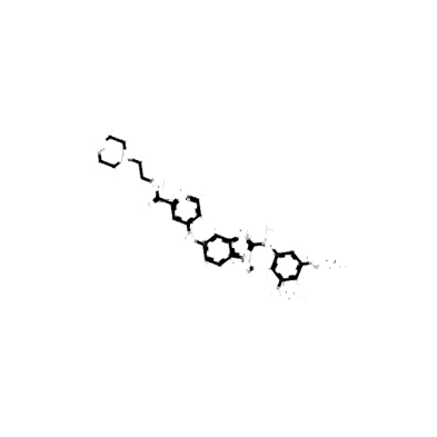 COc1cc(Nc2nc3cc(Oc4ccnc(C(=O)NCCN5CCOCC5)c4)ccc3n2C)cc(OC)c1